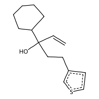 C=CC(O)(CCc1ccsc1)C1CCCCC1